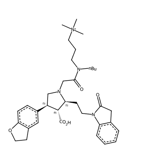 CCCCN(CCC[N+](C)(C)C)C(=O)CN1C[C@H](c2ccc3c(c2)CCO3)[C@@H](C(=O)O)[C@@H]1CCN1C(=O)Cc2ccccc21